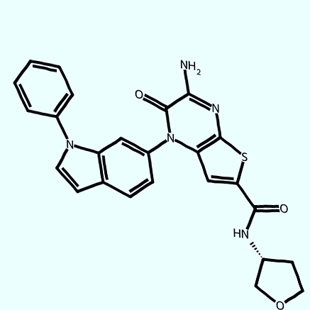 Nc1nc2sc(C(=O)N[C@@H]3CCOC3)cc2n(-c2ccc3ccn(-c4ccccc4)c3c2)c1=O